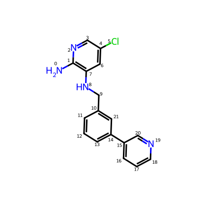 Nc1ncc(Cl)cc1NCc1cccc(-c2cccnc2)c1